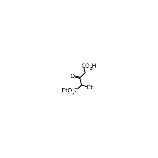 CCOC(=O)C(CC)C(=O)CC(=O)O